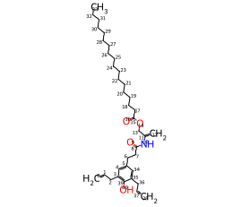 C=CCc1cc(CCC(=O)NC(=C)COC(=O)CCCCCCCCCCCCCCCCC)cc(CC=C)c1O